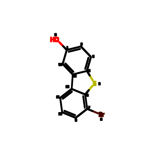 Oc1ccc2sc3c(Br)cccc3c2c1